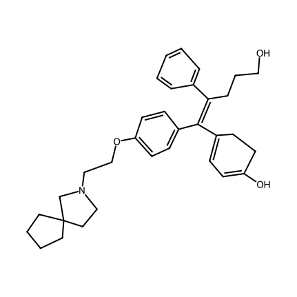 OCCC/C(=C(\C1=CC=C(O)CC1)c1ccc(OCCN2CCC3(CCCC3)C2)cc1)c1ccccc1